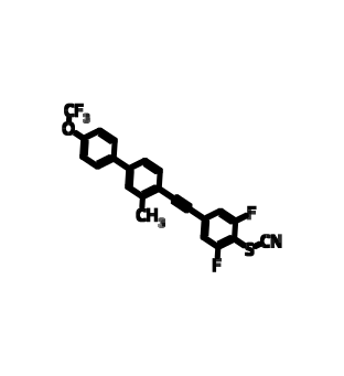 Cc1cc(-c2ccc(OC(F)(F)F)cc2)ccc1C#Cc1cc(F)c(SC#N)c(F)c1